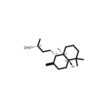 C=C1CC[C@H]2C(C)(C)CCC[C@]2(C)[C@H]1CC[C@@H](C)C=O